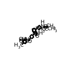 COc1cc(NC(=O)C2CCC(n3c(=O)[nH]c4c(N5CCC(NC(=O)OC(C)(C)C)CC5)cccc43)CC2)ccc1C